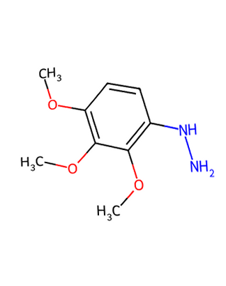 COc1ccc(NN)c(OC)c1OC